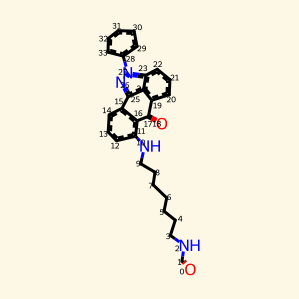 O=CNCCCCCCCNc1cccc2c1C(=O)c1cccc3c1c-2nn3-c1ccccc1